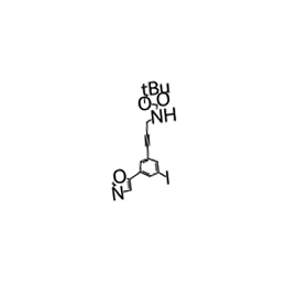 CC(C)(C)OC(=O)NCC#Cc1cc(I)cc(-c2cnco2)c1